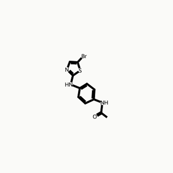 CC(=O)Nc1ccc(Nc2ncc(Br)s2)cc1